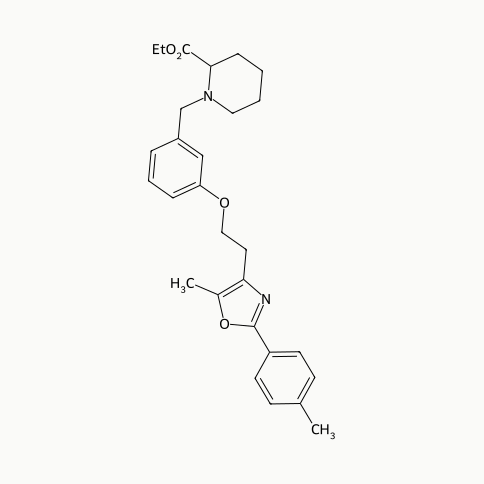 CCOC(=O)C1CCCCN1Cc1cccc(OCCc2nc(-c3ccc(C)cc3)oc2C)c1